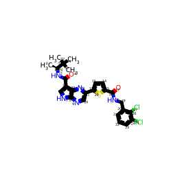 C[C@H](NC(=O)c1c[nH]c2ncc(-c3ccc(C(=O)NCc4cccc(Cl)c4Cl)s3)nc12)C(C)(C)C